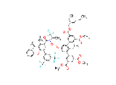 C=C1c2ccccc2Oc2c(-c3cc(C(F)(F)F)cc(C(F)(F)F)c3)cc(C(=O)N(OCOc3cc(-c4cc(C(=O)OC)cc(C(=O)OC)c4)c(CC)c(-c4cc(C(=O)OC)cc(C(=O)OCC(CC)CCCC)c4)c3)C(C)C(F)(F)F)c(CC)c21